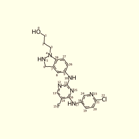 OCCCN1NCc2cc(Nc3ncc(F)c(Nc4ccc(Cl)nc4)n3)ccc21